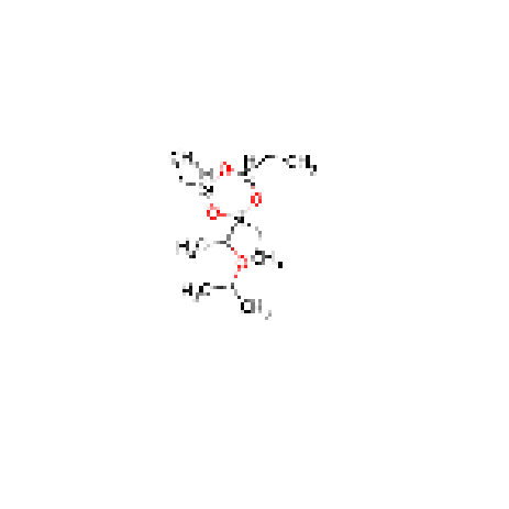 CC[SiH]1O[SiH](CC)O[Si](CC)(C(C)OC(C)C)O1